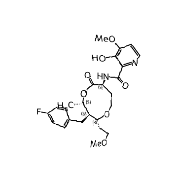 COCC[C@H]1OCC[C@H](NC(=O)c2nccc(OC)c2O)C(=O)O[C@@H](C)[C@@H]1Cc1ccc(F)cc1